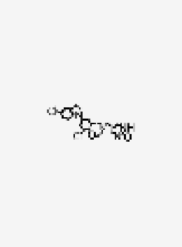 O=c1ncc(CN2CCOc3c(Cl)cc(N4CCc5cc(Cl)ccc54)cc3C2)c[nH]1